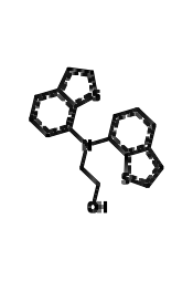 OCCN(c1cccc2ccsc12)c1cccc2ccsc12